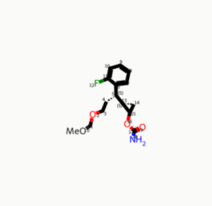 COCOCC[C@H](c1ccccc1F)[C@@H]1CC1OC(N)=O